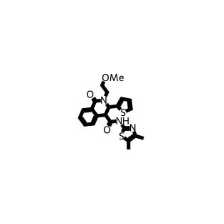 COCCN1C(=O)c2ccccc2C(C(=O)Nc2nc(C)c(C)s2)C1c1cccs1